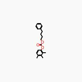 Cc1ccc(OC(=O)OCCCCc2ccccc2)c(C)c1C